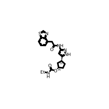 CCNC(=O)O[C@@H]1CC[C@H](c2cc(NC(=O)Cc3cccc4scnc34)n[nH]2)C1